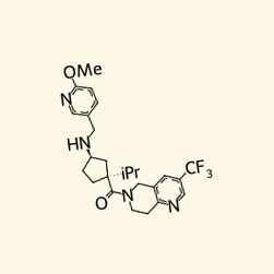 COc1ccc(CN[C@@H]2CC[C@@](C(=O)N3CCc4ncc(C(F)(F)F)cc4C3)(C(C)C)C2)cn1